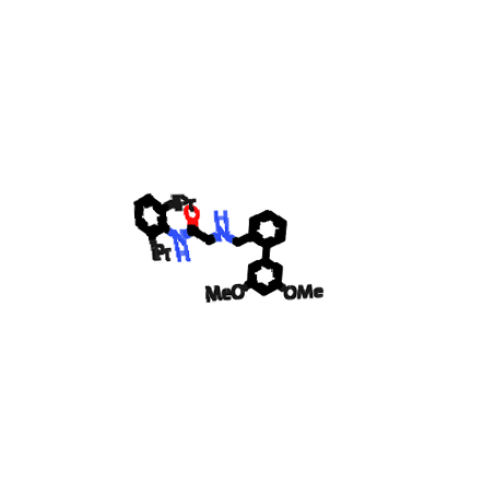 COc1cc(OC)cc(-c2ccccc2CNCC(=O)Nc2c(C(C)C)cccc2C(C)C)c1